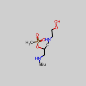 CCCCNCC(CNCCOO)OS(C)(=O)=O